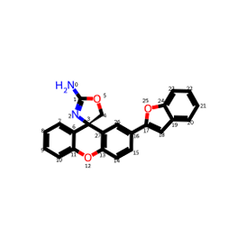 NC1=N[C@@]2(CO1)c1ccccc1Oc1ccc(-c3cc4ccccc4o3)cc12